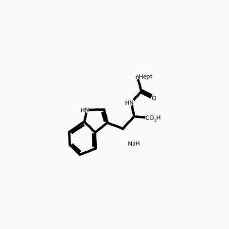 CCCCCCCC(=O)NC(Cc1c[nH]c2ccccc12)C(=O)O.[NaH]